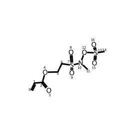 C=CC(=O)OCCS(=O)(=O)N(C)OS(C)(=O)=O